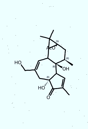 CC(=O)O[C@@]12C[C@@H](C)[C@@]3(O)C(C=C(CO)C[C@]4(O)C(=O)C(C)=CC34)C1C2(C)C